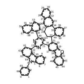 c1ccc(-n2c3ccccc3c3c(-c4nc(-c5cc6c(cc5C5CCc7cc8ccccc8cc7-c7ccccc75)oc5ccccc56)nc(-c5cccc6ccccc56)n4)cccc32)cc1